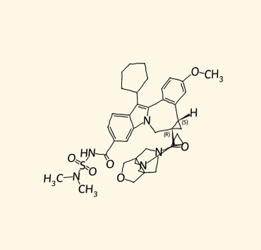 COc1ccc2c(c1)[C@@H]1C[C@]1(C(=O)N1CC34COCC3(C1)CN(C1CC1)C4)Cn1c-2c(C2CCCCC2)c2ccc(C(=O)NS(=O)(=O)N(C)C)cc21